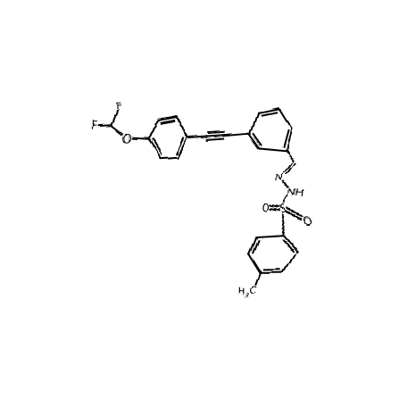 Cc1ccc(S(=O)(=O)NN=Cc2cccc(C#Cc3ccc(OC(F)F)cc3)c2)cc1